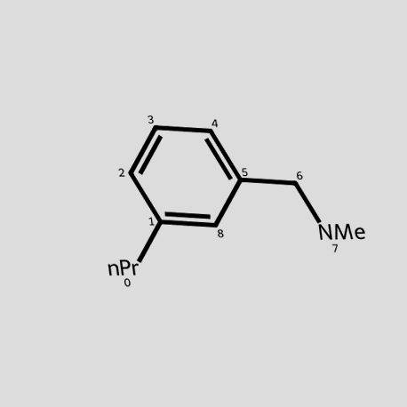 CCCc1cccc(CNC)c1